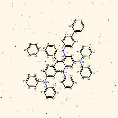 c1ccc(-c2ccc(N3c4ccc(-c5ccccc5)cc4B4c5ccc(N(c6ccccc6)c6ccccc6)cc5N(c5ccccc5)c5cc(N(c6ccccc6)c6ccccc6)cc3c54)cc2)cc1